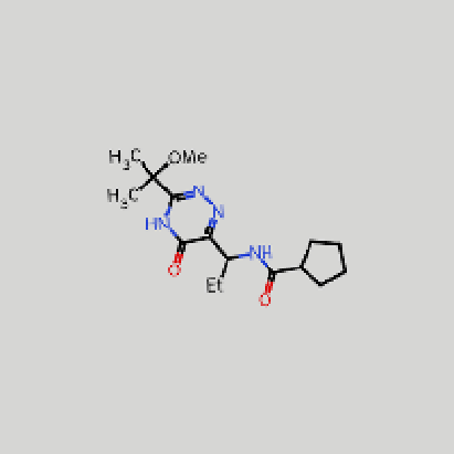 CCC(NC(=O)C1CCCC1)c1nnc(C(C)(C)OC)[nH]c1=O